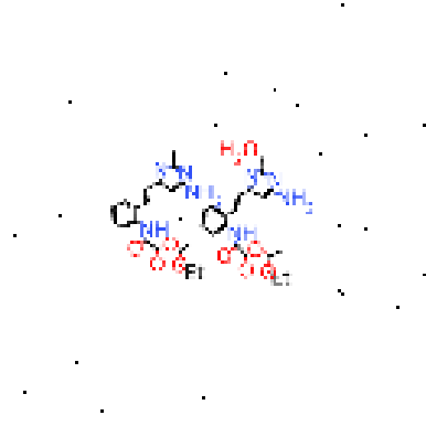 CCOC(C)OC(=O)C(=O)Nc1ccccc1C=Cc1cc(N)nc(C)n1.CCOC(C)OC(=O)C(=O)Nc1ccccc1C=Cc1cc(N)nc(C)n1.O